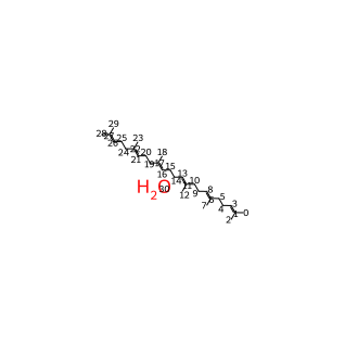 CC(C)=CCC/C(C)=C/CC/C(C)=C/CC/C=C(\C)CC/C=C(\C)CCC=C(C)C.O